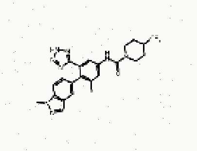 Cn1ncc2cc(-c3c(F)cc(NC(=O)N4CCC(C(F)(F)F)CC4)cc3-c3nn[nH]n3)ccc21